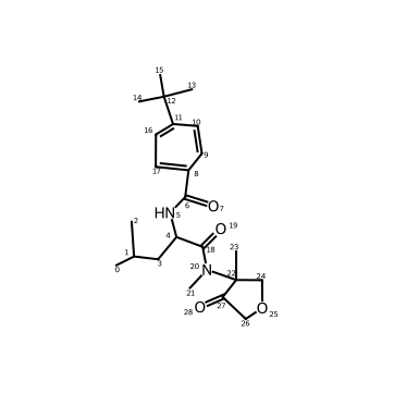 CC(C)CC(NC(=O)c1ccc(C(C)(C)C)cc1)C(=O)N(C)C1(C)COCC1=O